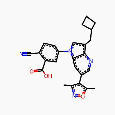 Cc1noc(C)c1-c1cnc2c(CC3CCC3)cn(-c3ccc(C#N)c(C(=O)O)c3)c2c1